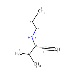 C#C[C@@H](NCCC)C(C)C